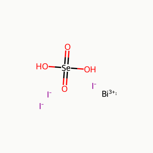 O=[Se](=O)(O)O.[Bi+3].[I-].[I-].[I-]